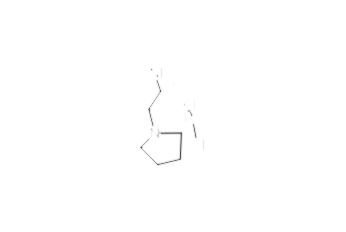 NCCN1CCCC1.[Cl][Pt][Cl]